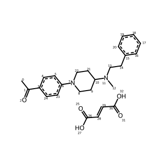 CC(=O)c1ccc(N2CCC(N(C)CCc3ccccc3)CC2)cc1.O=C(O)C=CC(=O)O